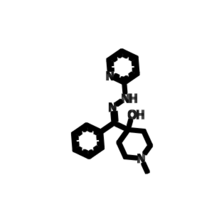 CN1CCC(O)(/C(=N\Nc2ccccn2)c2ccccc2)CC1